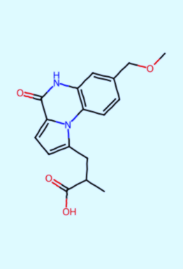 COCc1ccc2c(c1)[nH]c(=O)c1ccc(CC(C)C(=O)O)n12